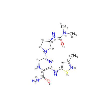 Cc1cc(Nc2nc(N3CC[C@@H](NC(=O)N(C)C)C3)cnc2C(N)=O)sn1